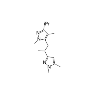 Cc1c(C(C)C)nn(C)c1CC(C)c1cc(C)n(C)n1